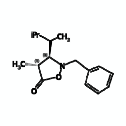 CC(C)C(C)[C@@H]1[C@@H](C)C(=O)ON1Cc1ccccc1